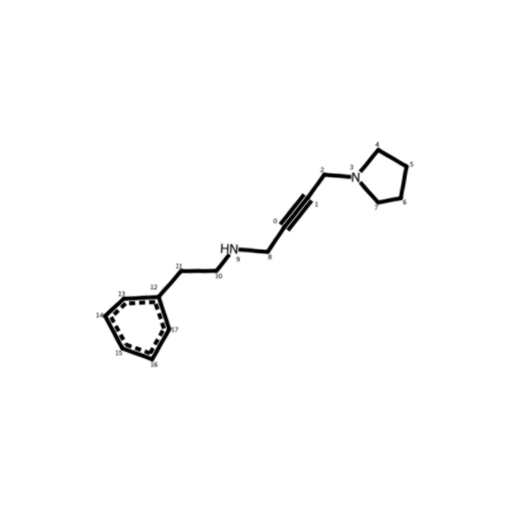 C(#CCN1CCCC1)CNCCc1ccccc1